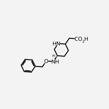 O=C(O)CC1CC[C@@H](NOCc2ccccc2)CN1